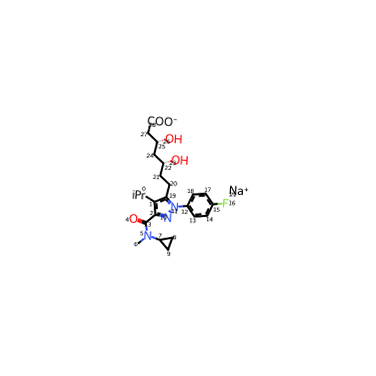 CC(C)c1c(C(=O)N(C)C2CC2)nn(-c2ccc(F)cc2)c1CC[C@@H](O)C[C@@H](O)CC(=O)[O-].[Na+]